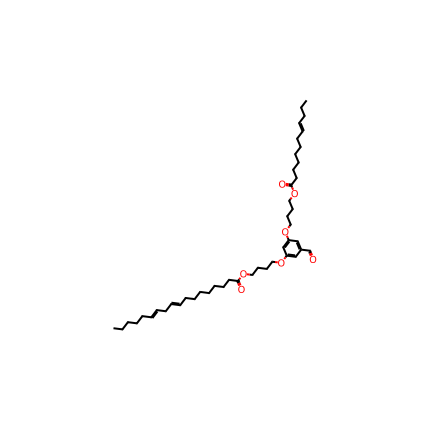 CCCC=CCCCCCCC(=O)OCCCCOc1cc(C=O)cc(OCCCCOC(=O)CCCCCCCC=CCC=CCCCCC)c1